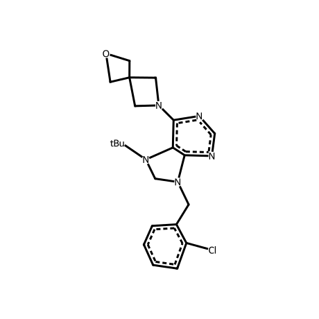 CC(C)(C)N1CN(Cc2ccccc2Cl)c2ncnc(N3CC4(COC4)C3)c21